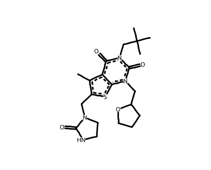 Cc1c(CN2CCNC2=O)sc2c1c(=O)n(CC(C)(C)C)c(=O)n2CC1CCCO1